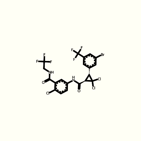 O=C(NCC(F)(F)F)c1cc(NC(=O)[C@H]2[C@H](c3cc(Br)cc(C(F)(F)F)c3)C2(Cl)Cl)ccc1Cl